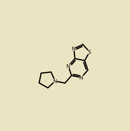 [c]1nc2nc(CN3CCCC3)ncc2s1